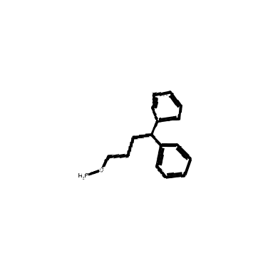 POCCCC(c1ccccc1)c1ccccc1